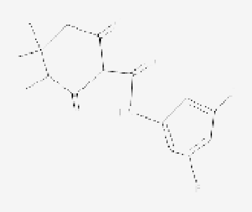 CC1(C)CC(=O)C(C(=O)Nc2cc(F)cc(F)c2)C(=O)C1F